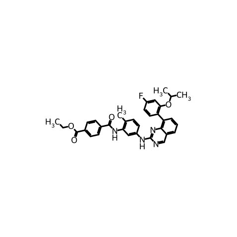 CCOC(=O)c1ccc(C(=O)Nc2cc(Nc3ncc4cccc(-c5ccc(F)cc5OC(C)C)c4n3)ccc2C)cc1